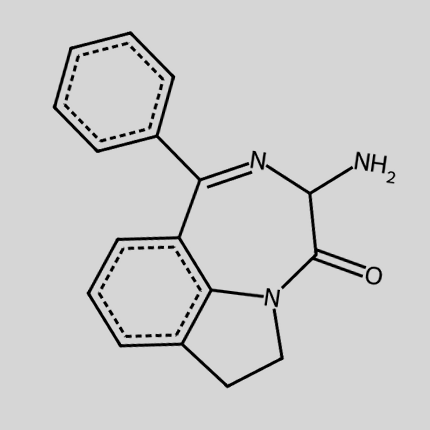 NC1N=C(c2ccccc2)c2cccc3c2N(CC3)C1=O